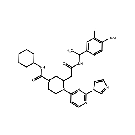 COc1ccc(C(C)NC(=O)CC2CN(C(=O)NC3CCCCC3)CCN2c2ccnc(-n3ccnc3)n2)cc1Cl